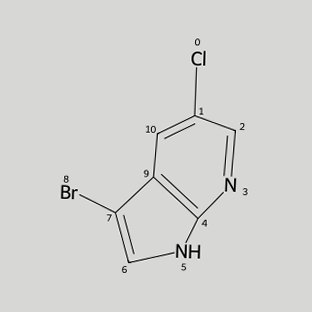 Clc1cnc2[nH]cc(Br)c2c1